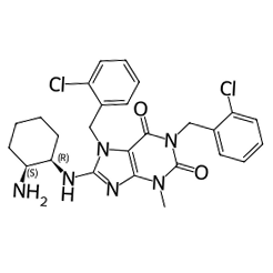 Cn1c(=O)n(Cc2ccccc2Cl)c(=O)c2c1nc(N[C@@H]1CCCC[C@@H]1N)n2Cc1ccccc1Cl